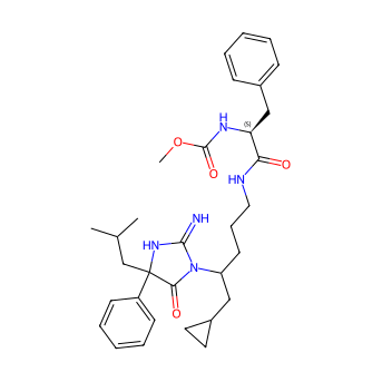 COC(=O)N[C@@H](Cc1ccccc1)C(=O)NCCCC(CC1CC1)N1C(=N)NC(CC(C)C)(c2ccccc2)C1=O